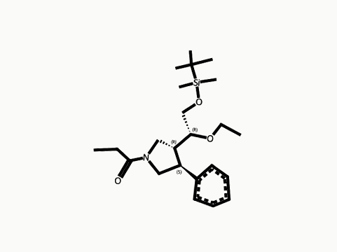 CCO[C@@H](CO[Si](C)(C)C(C)(C)C)[C@H]1CN(C(=O)CC)C[C@@H]1c1ccccc1